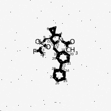 CC(=O)N1CC2(CC2)[C@H](CS(=O)(=O)C(F)F)[C@@H]1Cc1cccc(-c2ccccc2)c1